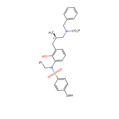 COc1ccc(S(=O)(=O)N(CC(C)C)c2cccc(C[C@@H](C)CN(Cc3ccccc3)C(=O)O)c2O)cc1